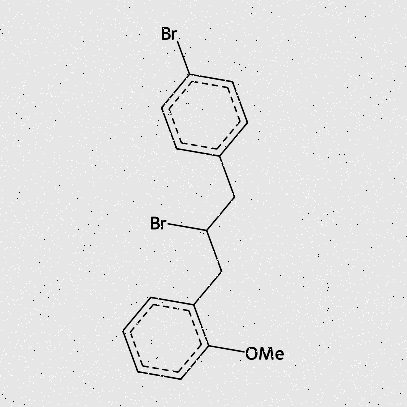 COc1ccccc1CC(Br)Cc1ccc(Br)cc1